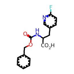 O=C(NC(Cc1ccc(F)nc1)C(=O)O)OCc1ccccc1